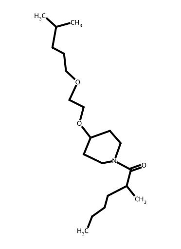 CCCCC(C)C(=O)N1CCC(OCCOCCCC(C)C)CC1